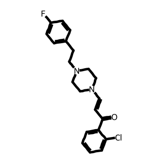 O=C(C=CN1CCN(CCc2ccc(F)cc2)CC1)c1ccccc1Cl